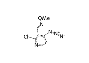 CON=Cc1c(N=[N+]=[N-])ccnc1Cl